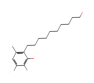 COc1cc(C)c(CCCCCCCCCCO)c(O)c1OC